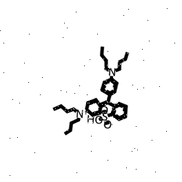 CCCCN(CCCC)c1ccc(C(=C2C=CC(=[N+](CCCC)CCCC)C=C2)c2ccccc2S(=O)(=O)O)cc1